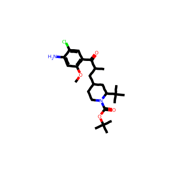 COc1cc(N)c(Cl)cc1C(=O)C(C)CC1CCN(C(=O)OC(C)(C)C)C(C(C)(C)C)C1